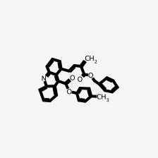 C=C(C=Cc1cccc2nc3ccccc3c(C(=O)Oc3ccc(C)cc3)c12)C(=O)OCc1ccccc1